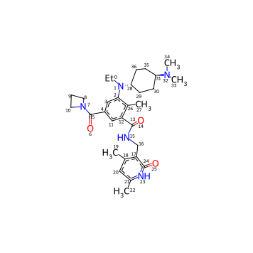 CCN(c1cc(C(=O)N2CCC2)cc(C(=O)NCc2c(C)cc(C)[nH]c2=O)c1C)[C@H]1CC[C@H](N(C)C)CC1